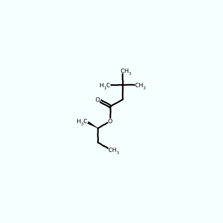 CC[C@@H](C)OC(=O)CC(C)(C)C